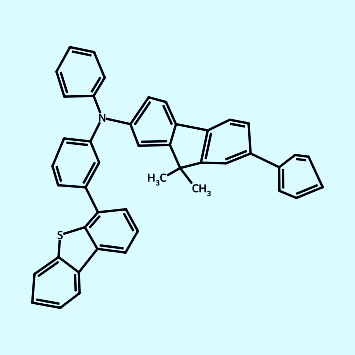 CC1(C)c2cc(-c3ccccc3)ccc2-c2ccc(N(c3ccccc3)c3cccc(-c4cccc5c4sc4ccccc45)c3)cc21